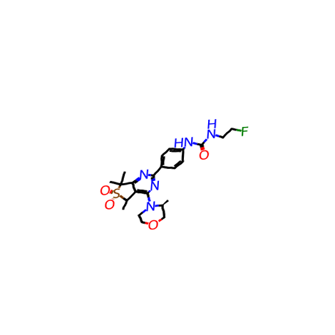 CC1c2c(N3CCOC[C@@H]3C)nc(-c3ccc(NC(=O)NCCF)cc3)nc2C(C)(C)S1(=O)=O